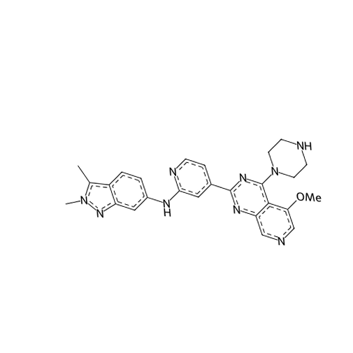 COc1cncc2nc(-c3ccnc(Nc4ccc5c(C)n(C)nc5c4)c3)nc(N3CCNCC3)c12